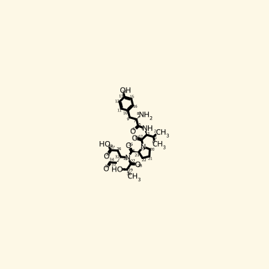 CC(C)[C@H](NC(=O)[C@@H](N)Cc1ccc(O)cc1)C(=O)N1CCC[C@H]1C(=O)N(C(=O)[C@H](C)O)[C@H](CC=O)CC(=O)O